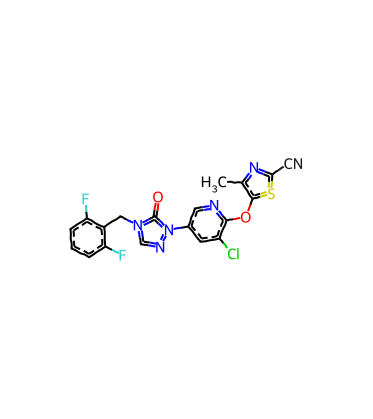 Cc1nc(C#N)sc1Oc1ncc(-n2ncn(Cc3c(F)cccc3F)c2=O)cc1Cl